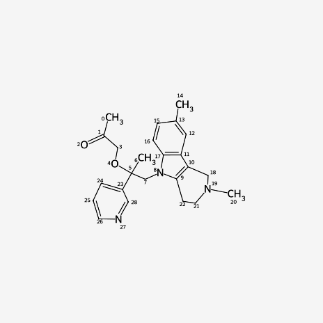 CC(=O)COC(C)(Cn1c2c(c3cc(C)ccc31)CN(C)CC2)c1cccnc1